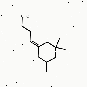 CC1C/C(=C/CCC=O)CC(C)(C)C1